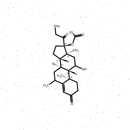 CCC(=O)O[C@]1(C(=O)COC(C)=O)CC[C@H]2[C@@H]3CC(C)C4=CC(=O)CC[C@]4(C)[C@H]3C(O)C[C@@]21C